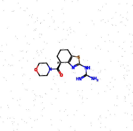 N=C(N)Nc1nc2c(s1)CCC[C@@H]2C(=O)N1CCOCC1